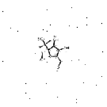 CC(C)(O)[C@]1(CO)O[C@H](CO)[C@H](O)C1O